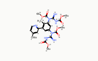 COc1ccnc(-c2cc(N(C(=N)NC(=O)OC(C)(C)C)C(=O)OC(C)(C)C)cc(N(C(=N)NC(=O)OC(C)(C)C)C(=O)OC(C)(C)C)c2C)c1